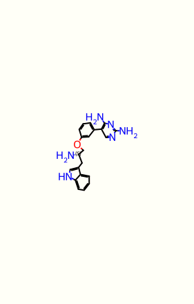 Nc1ncc(-c2cccc(OC[C@@H](N)Cc3c[nH]c4ccccc34)c2)c(N)n1